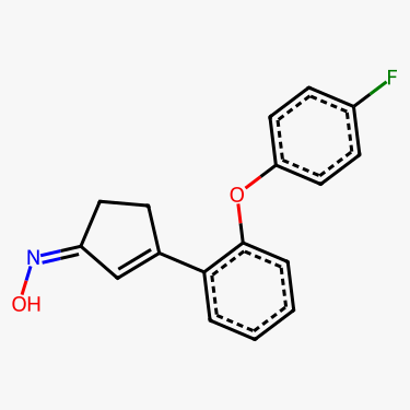 O/N=C1\C=C(c2ccccc2Oc2ccc(F)cc2)CC1